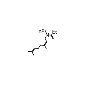 C=C(CC)N(C/C=C(/C)CCC=C(C)C)CCC